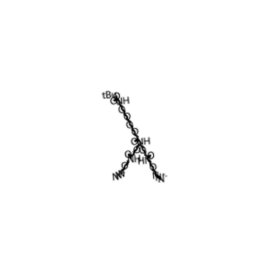 CC(C)(C)OC(=O)NCCOCCOCCOCCOCCC(=O)NC(COCCC(=O)NCCOCCN=[N+]=[N-])COCCC(=O)NCCOCCN=[N+]=[N-]